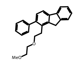 COCCOCCc1c(-c2ccccc2)ccc2c1Cc1ccccc1-2